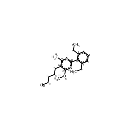 CCc1cccc(CC)c1-c1nc(C)c(CCCCCl)c(OC)n1